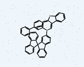 C=C/C=c1/oc2ccccc2/c1=C/N(c1cccc(-c2ccccc2)c1)c1ccc2c(c1)C1(c3ccccc3-c3ccccc31)c1ccccc1-2